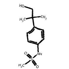 CC(C)(CO)c1ccc(NS(C)(=O)=O)cc1